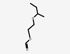 CCC(C)OCCOC=O